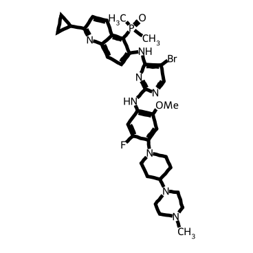 COc1cc(N2CCC(N3CCN(C)CC3)CC2)c(F)cc1Nc1ncc(Br)c(Nc2ccc3nc(C4CC4)ccc3c2P(C)(C)=O)n1